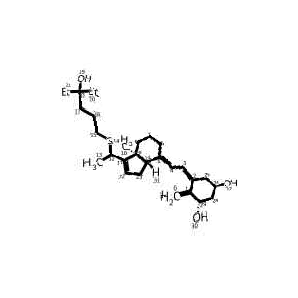 C=C1/C(=C\C=C2/CCC[C@]3(C)C(C(C)SCCCC(O)(CC)CC)=CC[C@@H]23)C[C@@H](O)C[C@@H]1O